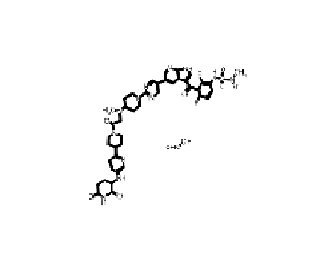 CCN(C)S(=O)(=O)Nc1ccc(F)c(C(=O)c2c[nH]c3ncc(-c4cnc(N5CCC(N(C)CC(=O)N6CCC(c7ccc(NC8CCC(=O)NC8=O)cn7)CC6)CC5)nc4)cc23)c1F.O=CO